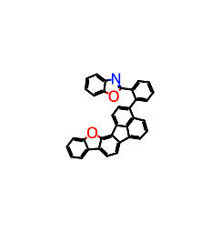 c1ccc(-c2ccc3c4c(cccc24)-c2ccc4c(oc5ccccc54)c2-3)c(-c2nc3ccccc3o2)c1